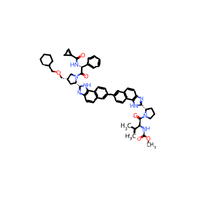 COC(=O)N[C@H](C(=O)N1CCC[C@H]1c1nc2ccc3cc(-c4ccc5c(ccc6nc([C@@H]7C[C@H](COCC8CCCCC8)CN7C(=O)[C@H](NC(=O)C7CC7)c7ccccc7)[nH]c65)c4)ccc3c2[nH]1)C(C)C